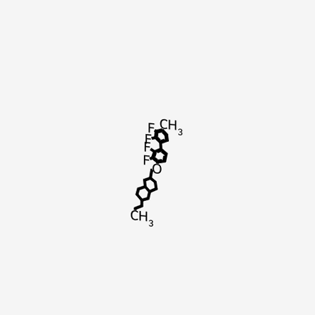 CCCC1CCC2CC(COc3ccc(-c4ccc(C)c(F)c4F)c(F)c3F)CCC2C1